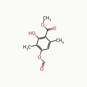 COC(=O)c1c(C)cc(O[C]=O)c(C)c1O